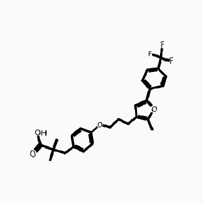 Cc1oc(-c2ccc(C(F)(F)F)cc2)cc1CCCOc1ccc(CC(C)(C)C(=O)O)cc1